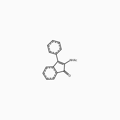 CC(=O)NC1=C(c2ccccc2)c2ccccc2C1=O